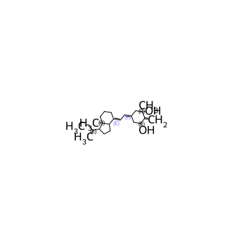 C=C1[C@H](O)C/C(=C\C=C2/CCC[C@@]3(C)C2CCC3[C@H](C)CC)C[C@@]1(C)O